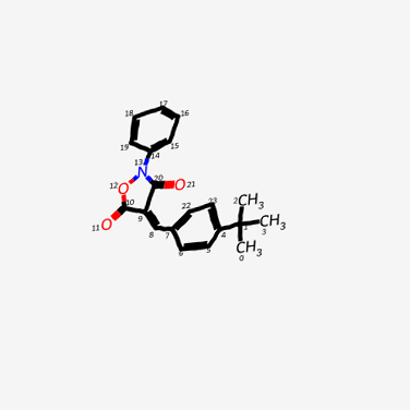 CC(C)(C)c1ccc(C=C2C(=O)ON(c3ccccc3)C2=O)cc1